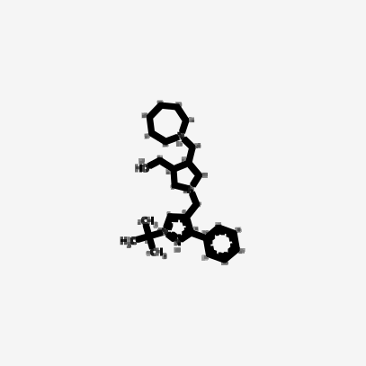 CC(C)(C)n1cc(CN2CC(CO)C(CN3CCCCCC3)C2)c(-c2ccccc2)n1